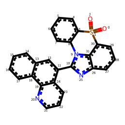 O=S1(=O)c2ccccc2-n2c(-c3cc4ccccc4c4ncccc34)nc3cccc1c32